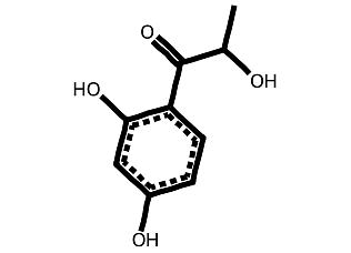 CC(O)C(=O)c1ccc(O)cc1O